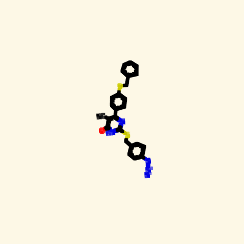 N#Cc1c(-c2ccc(SCc3ccccc3)cc2)nc(SCc2ccc(N=[N+]=[N-])cc2)[nH]c1=O